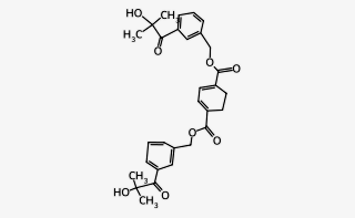 CC(C)(O)C(=O)c1cccc(COC(=O)C2=CC=C(C(=O)OCc3cccc(C(=O)C(C)(C)O)c3)CC2)c1